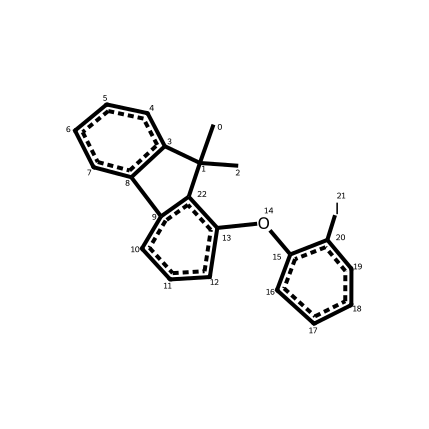 CC1(C)c2ccccc2-c2cccc(Oc3ccccc3I)c21